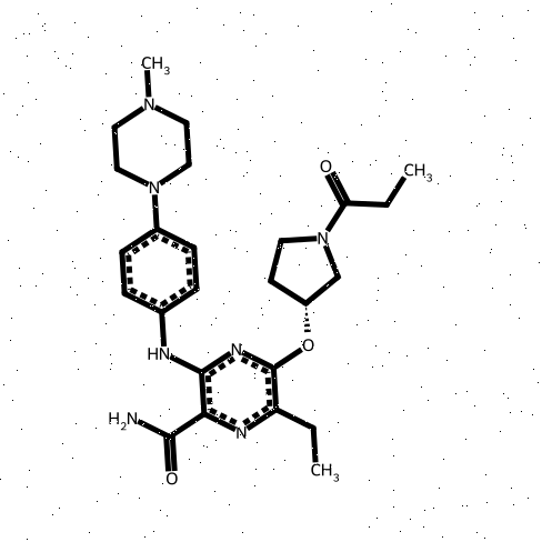 CCC(=O)N1CC[C@@H](Oc2nc(Nc3ccc(N4CCN(C)CC4)cc3)c(C(N)=O)nc2CC)C1